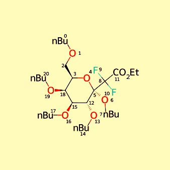 CCCCOC[C@H]1O[C@@](OCCCC)(C(F)(F)C(=O)OCC)[C@H](OCCCC)[C@@H](OCCCC)[C@H]1OCCCC